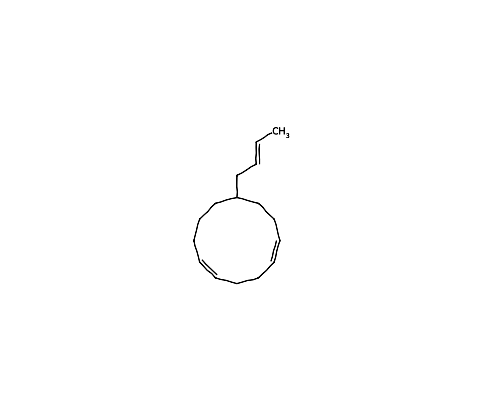 CC=CCC1CC/C=C\CC/C=C\CCC1